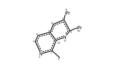 Cc1nccc2cc(C(C)C)c(C(C)C)nc12